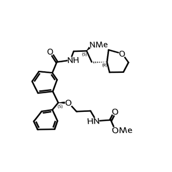 CN[C@H](CNC(=O)c1cccc([C@@H](OCCNC(=O)OC)c2ccccc2)c1)C[C@H]1CCCOC1